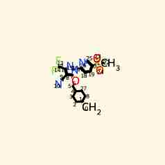 C=C1CCC(COc2c(C#N)c(C(F)F)nn2-c2ccc(S(C)(=O)=O)cn2)CC1